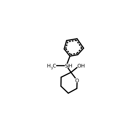 C[SiH](c1ccccc1)C1(O)CCCCO1